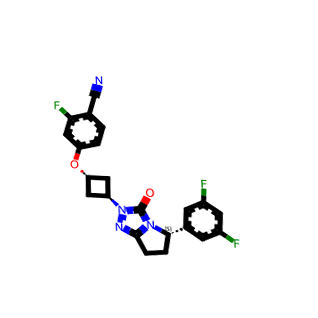 N#Cc1ccc(O[C@H]2C[C@H](n3nc4n(c3=O)[C@H](c3cc(F)cc(F)c3)CC4)C2)cc1F